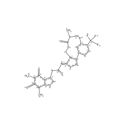 CC(C)C(=O)OCn1c(-c2ccc(C(F)(F)F)c(F)c2)cs/c1=N\C(=O)Cc1csc2c1c(=O)n(C)c(=O)n2C